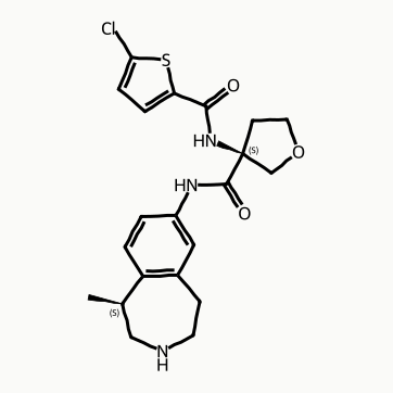 C[C@@H]1CNCCc2cc(NC(=O)[C@]3(NC(=O)c4ccc(Cl)s4)CCOC3)ccc21